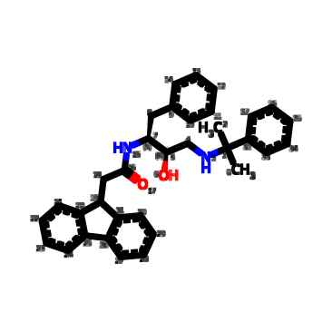 CC(C)(NC[C@@H](O)[C@H](Cc1ccccc1)NC(=O)CC1c2ccccc2-c2ccccc21)c1ccccc1